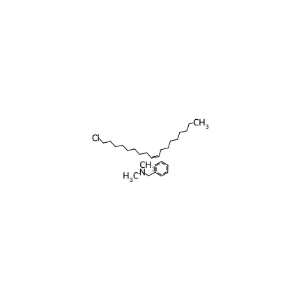 CCCCCCCC/C=C\CCCCCCCCCl.CN(C)Cc1ccccc1